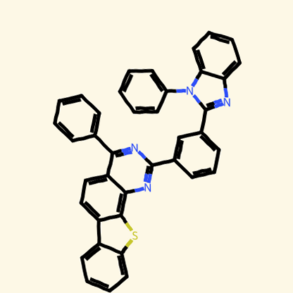 c1ccc(-c2nc(-c3cccc(-c4nc5ccccc5n4-c4ccccc4)c3)nc3c2ccc2c4ccccc4sc23)cc1